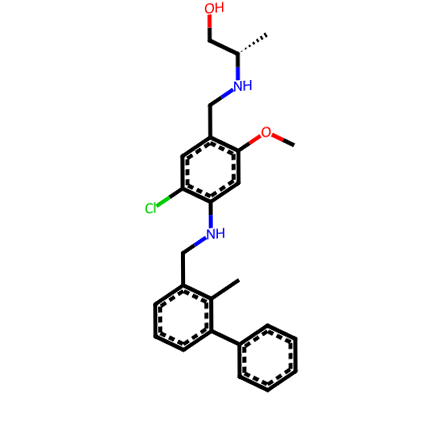 COc1cc(NCc2cccc(-c3ccccc3)c2C)c(Cl)cc1CN[C@@H](C)CO